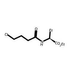 CCOC(=O)[C@H](CC)NC(=O)CCCCl